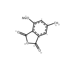 COc1cc(C)cc2c1C(=O)OC2=O